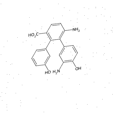 Nc1cc(-c2c(N)ccc(C(=O)O)c2-c2cccc(O)c2)ccc1O